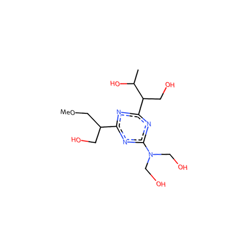 COCC(CO)c1nc(C(CO)C(C)O)nc(N(CO)CO)n1